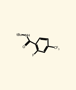 CC(C)(C)NC(=O)c1ccc(C(F)(F)F)cc1F